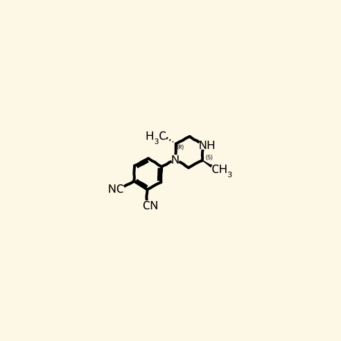 C[C@@H]1CN[C@@H](C)CN1c1ccc(C#N)c(C#N)c1